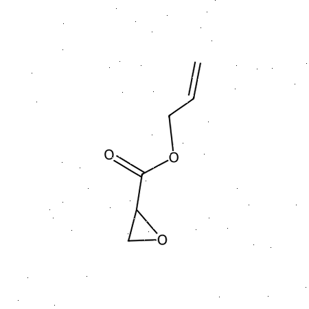 C=CCOC(=O)C1CO1